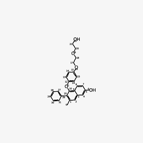 Cc1cc2cc(O)ccc2c(Oc2ccc(OCCOCCO)cc2)c1-c1ccccc1